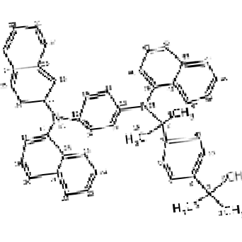 CC(C)(C)c1ccc(C(C)(C)N(c2ccc(N(c3cccc4ccccc34)C3C=c4ccccc4=CC3)cc2)c2cccc3ccccc23)cc1